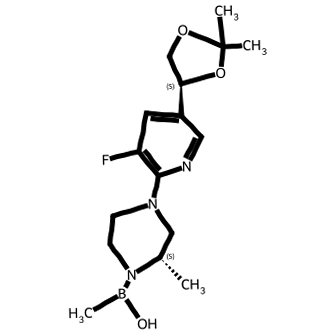 CB(O)N1CCN(c2ncc([C@H]3COC(C)(C)O3)cc2F)C[C@@H]1C